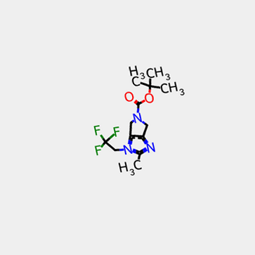 Cc1nc2c(n1CC(F)(F)F)CN(C(=O)OC(C)(C)C)C2